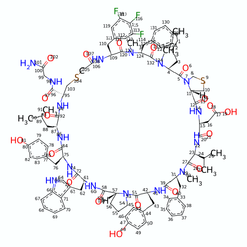 CCCC[C@H]1C(=O)N2CSC[C@@H]2C(=O)N[C@@H](CC(=O)O)C(=O)N[C@@H](C(C)C)C(=O)N(C)[C@@H](Cc2ccccc2)C(=O)N[C@@H](Cc2ccc(O)cc2)C(=O)N2CCC[C@@H]2C(=O)N[C@@H](Cc2c[nH]c3ccccc23)C(=O)N[C@@H](Cc2ccc(O)cc2)C(=O)N[C@@H](CC(C)C)C(=O)N[C@H](C(=O)NCC(N)=O)CSCC(=O)N[C@@H](Cc2cc(F)c(F)c(F)c2)C(=O)N(C)[C@@H](Cc2ccccc2)C(=O)N1C